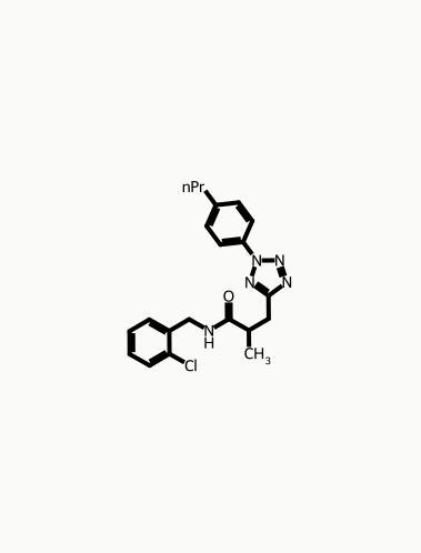 CCCc1ccc(-n2nnc(CC(C)C(=O)NCc3ccccc3Cl)n2)cc1